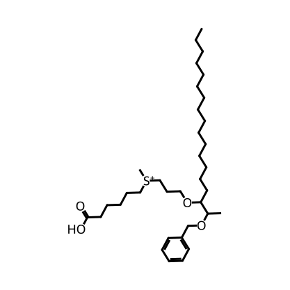 CCCCCCCCCCCCCCCC(OCCC[S+](C)CCCCCC(=O)O)C(C)OCc1ccccc1